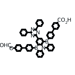 O=COc1ccc(-c2ccc(B3c4ccccc4N4c5ccccc5B(c5ccc(-c6ccc(C(=O)O)cc6)cc5)c5cc(-c6nc(-c7ccccc7)nc(-c7ccccc7)n6)cc3c54)cc2)cc1